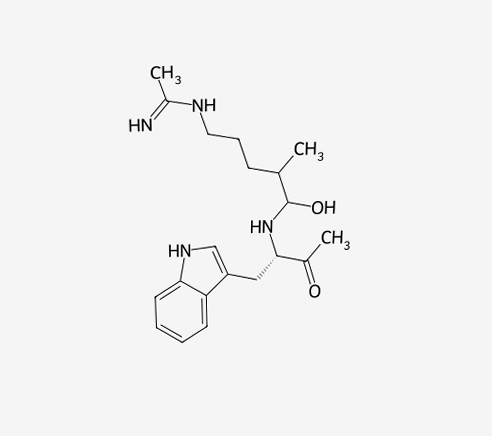 CC(=N)NCCCC(C)C(O)N[C@@H](Cc1c[nH]c2ccccc12)C(C)=O